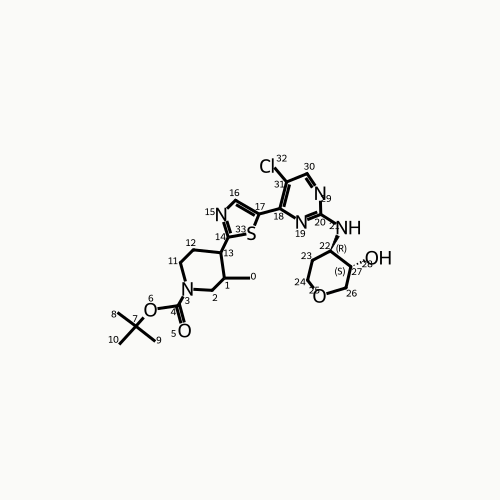 CC1CN(C(=O)OC(C)(C)C)CCC1c1ncc(-c2nc(N[C@@H]3CCOC[C@H]3O)ncc2Cl)s1